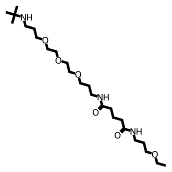 CCOCCCNC(=O)CCCC(=O)NCCCOCCOCCOCCCNC(C)(C)C